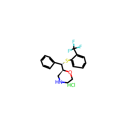 Cl.FC(F)(F)c1ccccc1S[C@@H](c1ccccc1)[C@@H]1CNCCO1